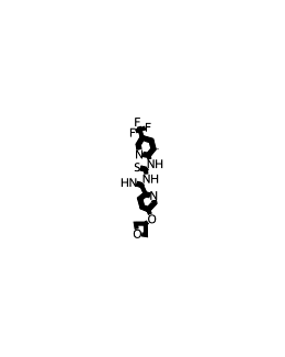 N=C(NC(=S)Nc1[c]cc(C(F)(F)F)cn1)c1ccc(OC2COC2)cn1